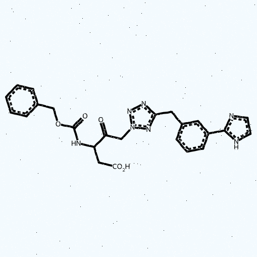 O=C(O)CC(NC(=O)OCc1ccccc1)C(=O)Cn1nnc(Cc2cccc(-c3ncc[nH]3)c2)n1